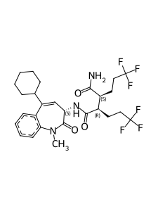 CN1C(=O)[C@@H](NC(=O)[C@H](CCC(F)(F)F)[C@H](CCC(F)(F)F)C(N)=O)C=C(C2CCCCC2)c2ccccc21